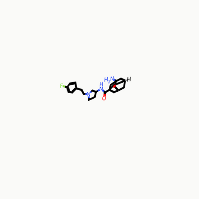 NC12CC3C[C@H](C1)CC(C(=O)NC1CCN(CCc4ccc(F)cc4)C1)(C3)C2